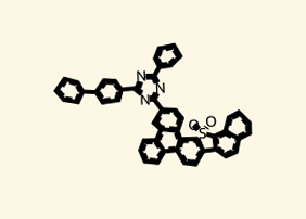 O=S1(=O)c2c(ccc3ccccc23)-c2ccc3c4ccccc4c4cc(-c5nc(-c6ccccc6)nc(-c6ccc(-c7ccccc7)cc6)n5)ccc4c3c21